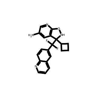 Nc1cnc2c(c1)C(C1CCC1)(C(F)(F)c1ccc3ncccc3c1)NO2